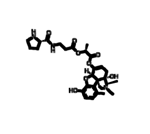 Cc1ccc(O)c2c1[C@]13CCN(C)[C@H](C)[C@]1(O)CC=C(OC(=O)[C@H](C)OC(=O)CCNC(=O)[C@@H]1CCCN1)[C@@H]3O2